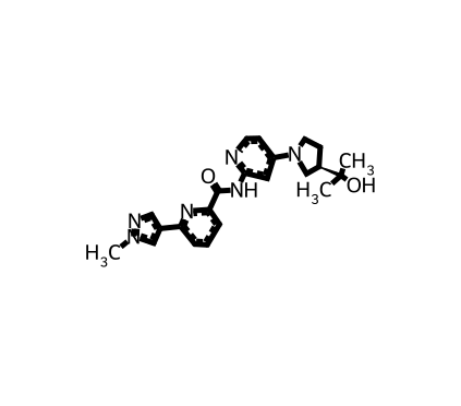 Cn1cc(-c2cccc(C(=O)Nc3cc(N4CC[C@@H](C(C)(C)O)C4)ccn3)n2)cn1